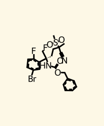 CC(C#N)(CC[C@](CF)(NC(=O)OCc1ccccc1)c1cc(Br)ccc1F)S(C)(=O)=O